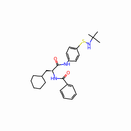 CC(C)(C)NSc1ccc(NC(=O)[C@H](CC2CCCCC2)NC(=O)c2ccccc2)cc1